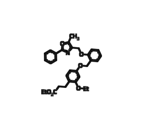 CCOC(=O)CCc1ccc(OCc2ccccc2OCc2nc(-c3ccccc3)oc2C)cc1OCC